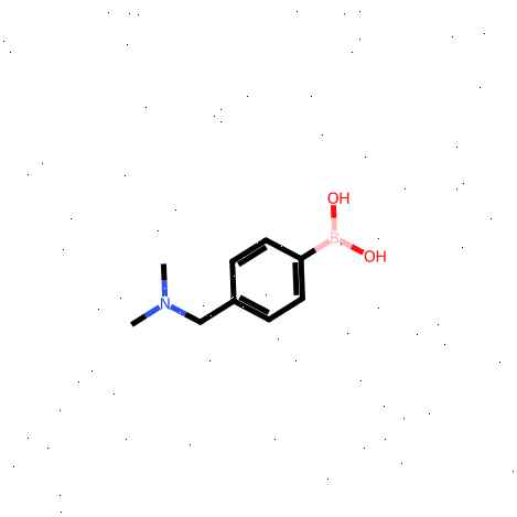 CN(C)Cc1ccc(B(O)O)cc1